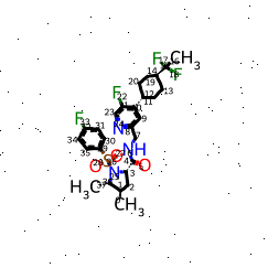 C[C@@H]1C[C@@H](C(=O)NCc2cc([C@H]3CC[C@H](C(C)(F)F)CC3)c(F)cn2)N(S(=O)(=O)c2ccc(F)cc2)[C@H]1C